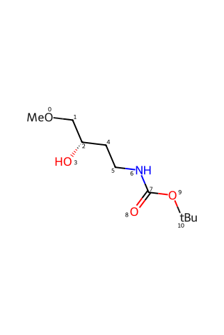 COC[C@@H](O)CCNC(=O)OC(C)(C)C